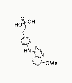 COc1cccc2c(Nc3ccc(CCP(=O)(O)O)cc3)ncnc12